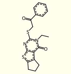 CCn1c(SCC(=O)c2ccccc2)nc2sc3c(c2c1=O)CCC3